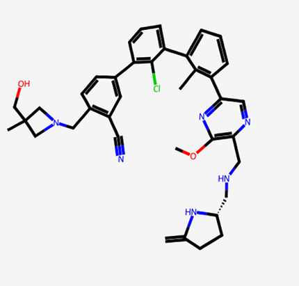 C=C1CC[C@@H](CNCc2ncc(-c3cccc(-c4cccc(-c5ccc(CN6CC(C)(CO)C6)c(C#N)c5)c4Cl)c3C)nc2OC)N1